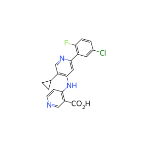 O=C(O)c1cnccc1Nc1cc(-c2cc(Cl)ccc2F)ncc1C1CC1